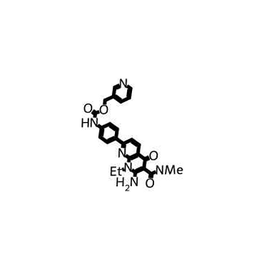 CCn1c(N)c(C(=O)NC)c(=O)c2ccc(-c3ccc(NC(=O)OCc4cccnc4)cc3)nc21